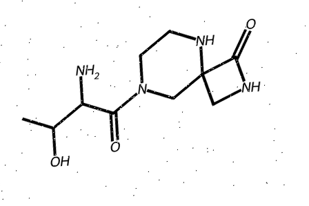 CC(O)C(N)C(=O)N1CCNC2(CNC2=O)C1